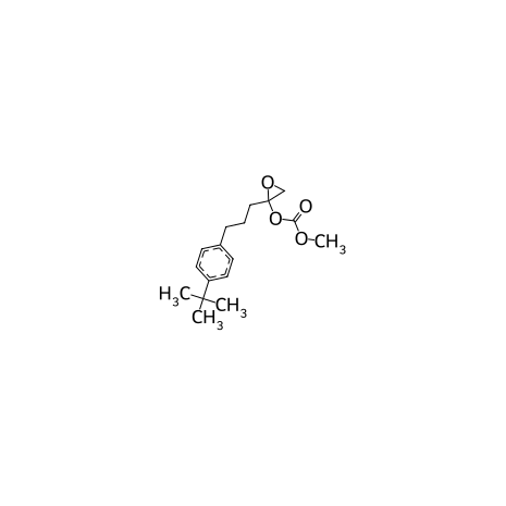 COC(=O)OC1(CCCc2ccc(C(C)(C)C)cc2)CO1